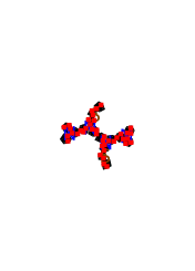 c1ccc(-c2ccc(-c3ccc(N(c4ccc(-c5ccc(N(c6ccc(-c7ccc8c(c7)c7ccccc7n8-c7ccccc7)cc6)c6ccc(-c7ccc(-c8ccccc8)s7)cc6)cc5)cc4)c4ccc(-c5ccc6c(c5)c5ccccc5n6-c5ccccc5)cc4)cc3)s2)cc1